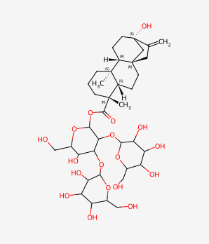 C=C1C[C@@]23CC[C@H]4[C@@](C)(CCC[C@@]4(C)C(=O)OC4OC(CO)C(O)C(OC5OC(CO)C(O)C(O)C5O)C4OC4OC(CO)C(O)C(O)C4O)[C@@H]2CC[C@]1(O)C3